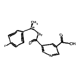 C[C@@H](NC(=O)c1cncc(C(=O)O)c1)c1ccc(F)cc1